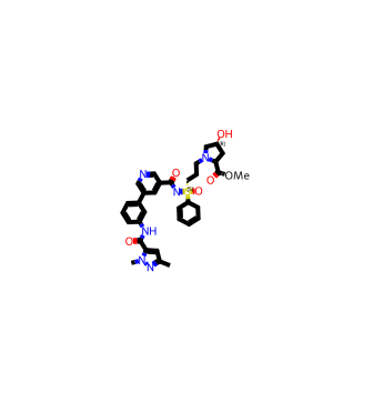 COC(=O)C1C[C@@H](O)CN1CCC[S@@](=O)(=NC(=O)c1cncc(-c2cccc(NC(=O)c3cc(C)nn3C)c2)c1)C1C=CC=CC1